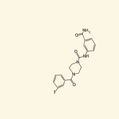 NC(=O)c1cccc(NC(=O)N2CCN(C(=O)c3cccc(F)c3)CC2)c1